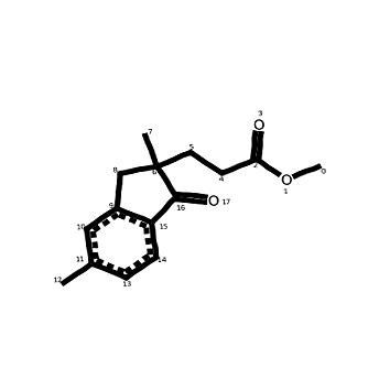 COC(=O)CCC1(C)Cc2cc(C)ccc2C1=O